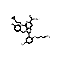 C=CCCOc1ccc(C)cc1-c1nc2nc(C(=O)OC)nc(NCCC3CC3)c2n1Cc1ccc(Cl)cc1